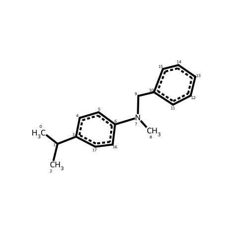 CC(C)c1ccc(N(C)Cc2ccccc2)cc1